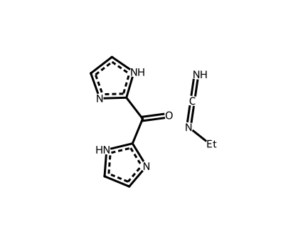 CCN=C=N.O=C(c1ncc[nH]1)c1ncc[nH]1